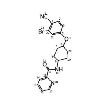 N#Cc1ccc(OC2CCC(NC(=O)c3ccccn3)CC2)cc1Br